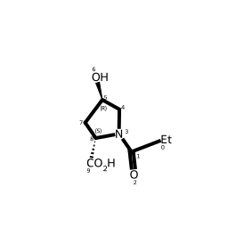 CCC(=O)N1C[C@H](O)C[C@H]1C(=O)O